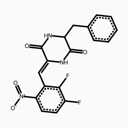 O=C1NC(Cc2ccccc2)C(=O)NC1=Cc1c([N+](=O)[O-])ccc(F)c1F